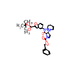 CC(C)(C)OC(=O)c1cc2cc(NC(=O)C3C(N4CCCCC4)CCN3C(=O)OCc3ccccc3)ccc2o1